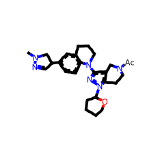 CC(=O)N1CCc2c(c(N3CCCc4cc(C5C=NN(C)C5)ccc43)nn2C2CCCCO2)C1